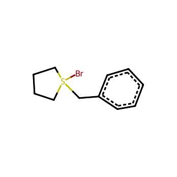 BrS1(Cc2ccccc2)CCCC1